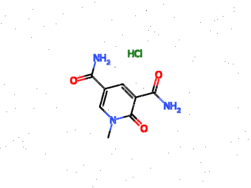 Cl.Cn1cc(C(N)=O)cc(C(N)=O)c1=O